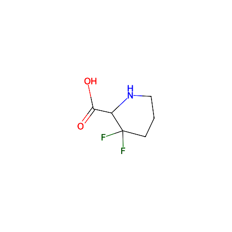 O=C(O)C1NCCCC1(F)F